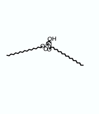 CCCCCCCCCCCCCCCCCC(=O)N1C[C@H](O)C[C@H]1C(=O)OCCCCCCCCCCCCCCCC